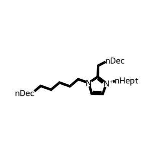 CCCCCCCCCCCCCCCn1cc[n+](CCCCCCC)c1CCCCCCCCCCC